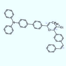 C/C=C(\O/C(=C(\C)CC)c1ccc(/C=C\c2ccccc2)cc1)c1ccc(-c2ccc(N(c3ccccc3)c3ccccc3)cc2)cc1